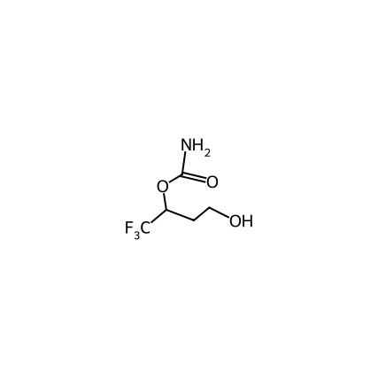 NC(=O)OC(CCO)C(F)(F)F